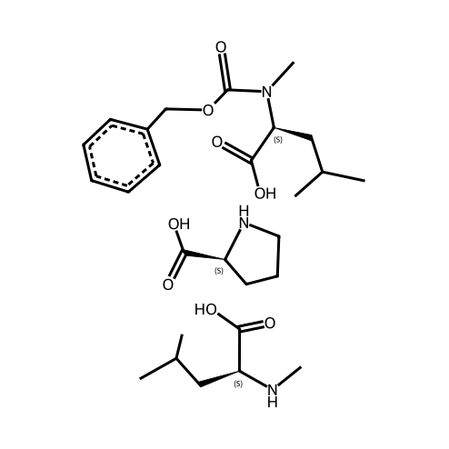 CC(C)C[C@@H](C(=O)O)N(C)C(=O)OCc1ccccc1.CN[C@@H](CC(C)C)C(=O)O.O=C(O)[C@@H]1CCCN1